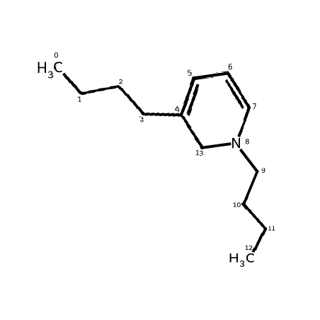 CCCCC1=CC=CN(CCCC)C1